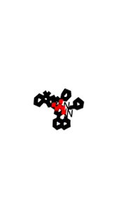 CC1(C)c2ccccc2-c2cc3c4cc(-c5cccc6cccc(-c7nc(-c8ccccc8)nc(-c8ccccc8)n7)c56)ccc4n(-c4ccccc4)c3cc21